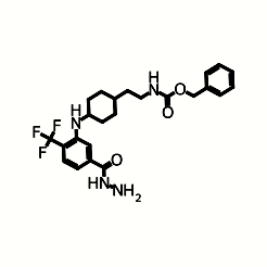 NNC(=O)c1ccc(C(F)(F)F)c(NC2CCC(CCNC(=O)OCc3ccccc3)CC2)c1